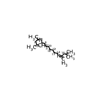 CC(CC(C)C)=NCCCCCCCCN=C(C)CC(C)C